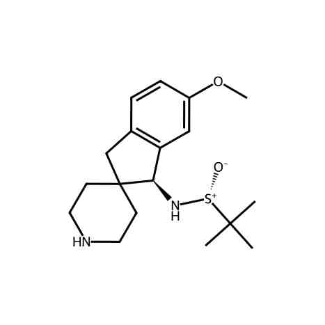 COc1ccc2c(c1)[C@@H](N[S@+]([O-])C(C)(C)C)C1(CCNCC1)C2